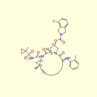 Cc1ccccc1N[C@H]1CCCCC/C=C\[C@@H]2C[C@@]2(C(=O)NS(=O)(=O)C2(C)CC2)NC(=O)[C@@H]2C[C@@H](OC(=O)N3Cc4cccc(F)c4C3)CN2C1=O